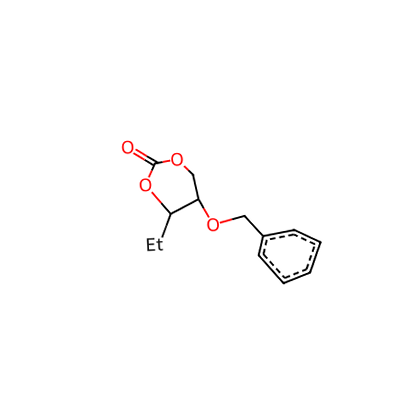 CCC1OC(=O)OCC1OCc1ccccc1